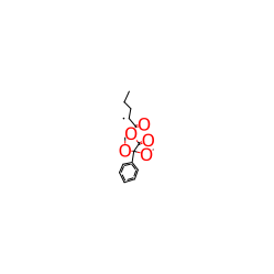 CCC[CH]C(=O)OC(=O)C(OC)(OC)c1ccccc1